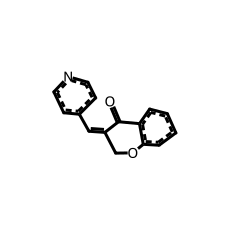 O=C1C(=Cc2ccncc2)COc2ccccc21